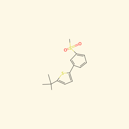 CC(C)(C)c1ccc(-c2cccc(S(C)(=O)=O)c2)s1